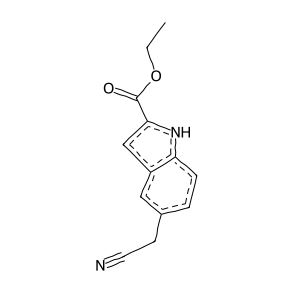 CCOC(=O)c1cc2cc(CC#N)ccc2[nH]1